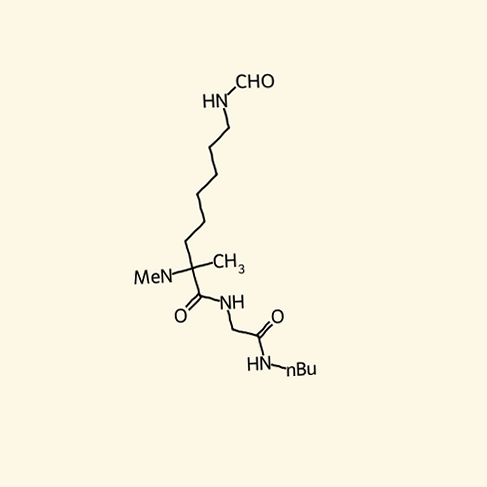 CCCCNC(=O)CNC(=O)C(C)(CCCCCCNC=O)NC